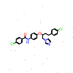 O=C(Nc1ccc(OC(CCc2ccc(Cl)cc2)Cn2ccnc2)cc1)c1ccc(Cl)cc1